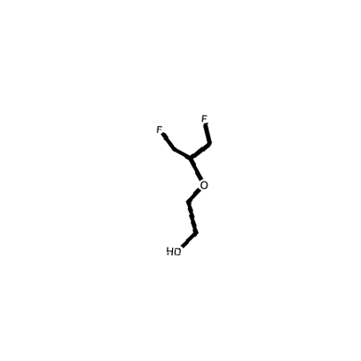 OCCOC(CF)CF